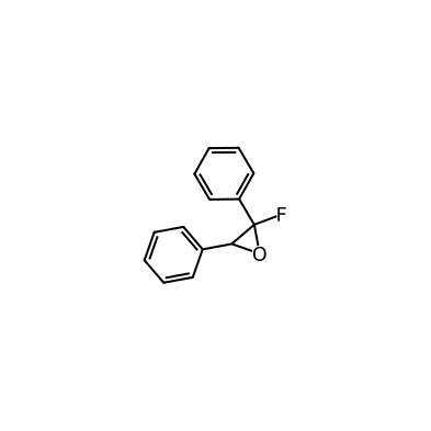 FC1(c2ccccc2)OC1c1ccccc1